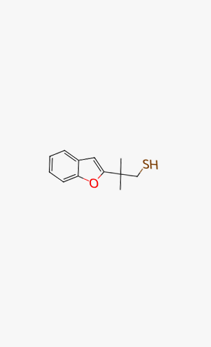 CC(C)(CS)c1cc2ccccc2o1